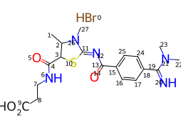 Br.CC1C(C(=O)NCCC(=O)O)SC(=NC(=O)c2ccc(C(=N)N(C)C)cc2)N1C